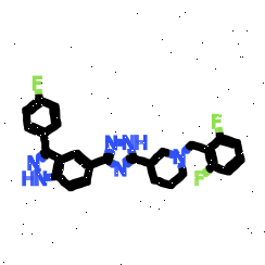 Fc1ccc(-c2n[nH]c3ccc(-c4n[nH]c(C5CCCN(Cc6c(F)cccc6F)C5)n4)cc23)cc1